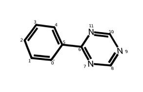 [c]1ccccc1-c1ncncn1